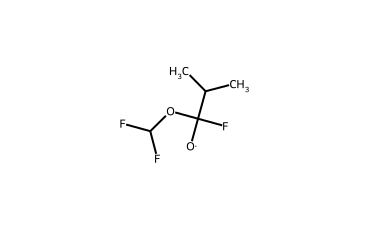 CC(C)C([O])(F)OC(F)F